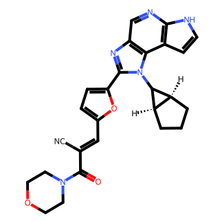 N#C/C(=C\c1ccc(-c2nc3cnc4[nH]ccc4c3n2C2[C@H]3CCC[C@@H]23)o1)C(=O)N1CCOCC1